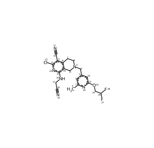 Cc1cc(CN2CCc3c(C#N)c(Cl)nc(NCC#N)c3C2)cc(OCC(F)F)n1